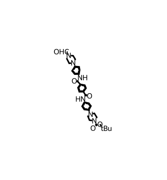 CC(C)(C)OC(=O)N1CCN(c2ccc(NC(=O)c3ccc(C(=O)Nc4ccc(N5CCN(C=O)CC5)cc4)cc3)cc2)CC1